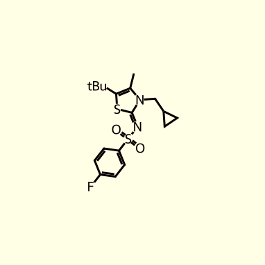 Cc1c(C(C)(C)C)s/c(=N\S(=O)(=O)c2ccc(F)cc2)n1CC1CC1